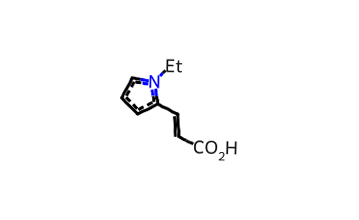 CCn1cccc1/C=C/C(=O)O